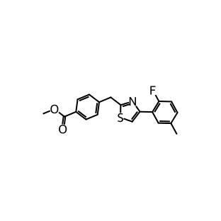 COC(=O)c1ccc(Cc2nc(-c3cc(C)ccc3F)cs2)cc1